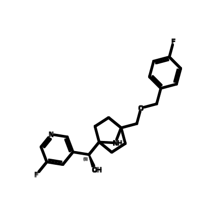 O[C@@H](c1cncc(F)c1)C12CCC(COCc3ccc(F)cc3)(CC1)N2